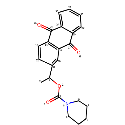 CC(OC(=O)N1CCCCC1)c1ccc2c(c1)C(=O)c1ccccc1C2=O